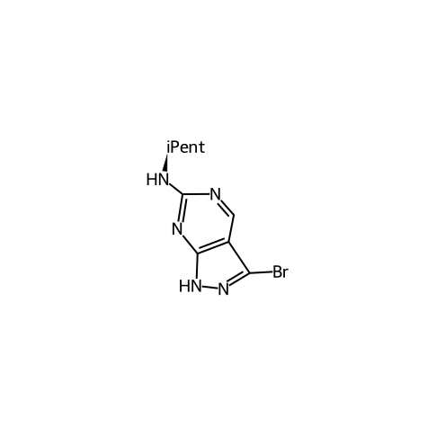 CCC[C@H](C)Nc1ncc2c(Br)n[nH]c2n1